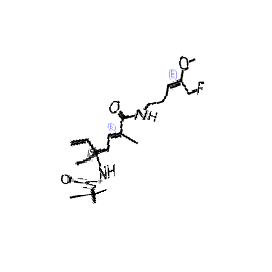 C=C[C@](C)(C/C=C(\C)C(=O)NCC/C=C(\CF)OC)N[S+]([O-])C(C)(C)C